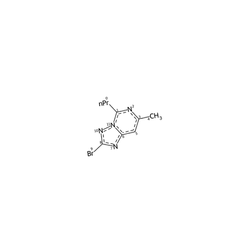 CCCc1nc(C)cc2nc(Br)nn12